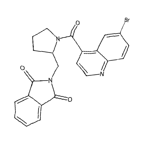 O=C1c2ccccc2C(=O)N1CC1CCCN1C(=O)c1ccnc2ccc(Br)cc12